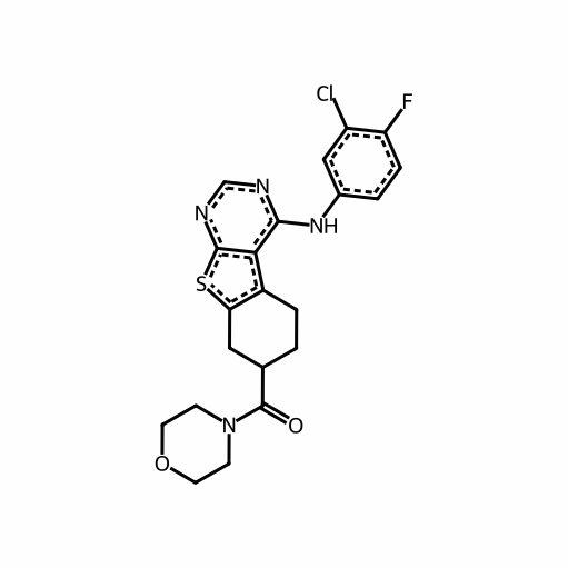 O=C(C1CCc2c(sc3ncnc(Nc4ccc(F)c(Cl)c4)c23)C1)N1CCOCC1